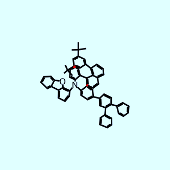 CC(C)(C)c1cc(-c2cccc3cccc(-c4ccccc4N(c4ccc(-c5ccc(-c6ccccc6)c(-c6ccccc6)c5)cc4)c4cccc5c4oc4ccccc45)c23)cc(C(C)(C)C)c1